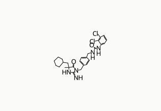 CC1(CC2CCCCC2)NC(=N)N(Cc2ccc(CNC(=O)Nc3cccc(Cl)c3Cl)cc2)C1=O